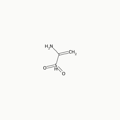 C=C(N)[SH](=O)=O